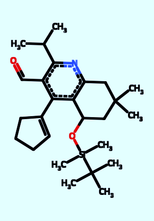 CC(C)c1nc2c(c(C3=CCCC3)c1C=O)C(O[Si](C)(C)C(C)(C)C)CC(C)(C)C2